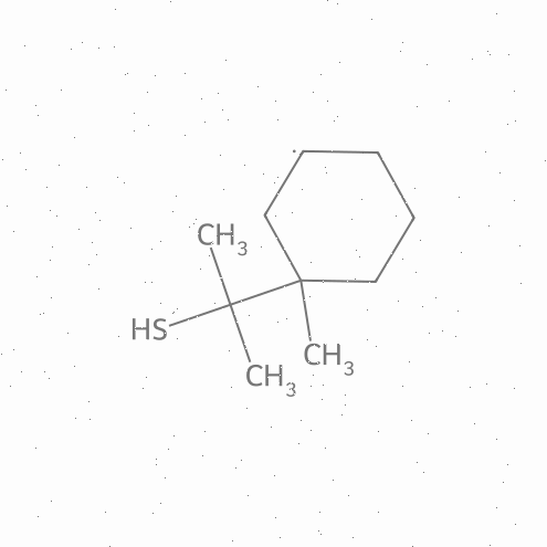 CC(C)(S)C1(C)C[CH]CCC1